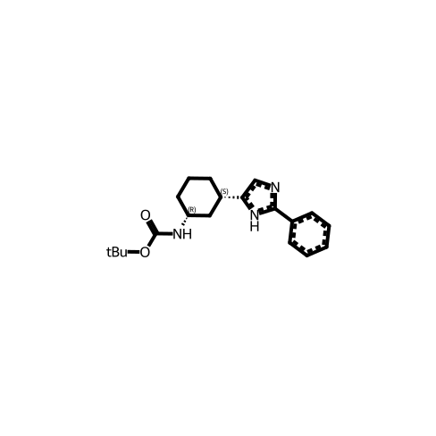 CC(C)(C)OC(=O)N[C@@H]1CCC[C@H](c2cnc(-c3ccccc3)[nH]2)C1